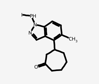 Cc1ccc2c(cnn2PI)c1C1CCCCC(=O)C1